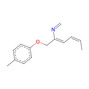 C=N/C(=C\C=C/C)COc1ccc(C)cc1